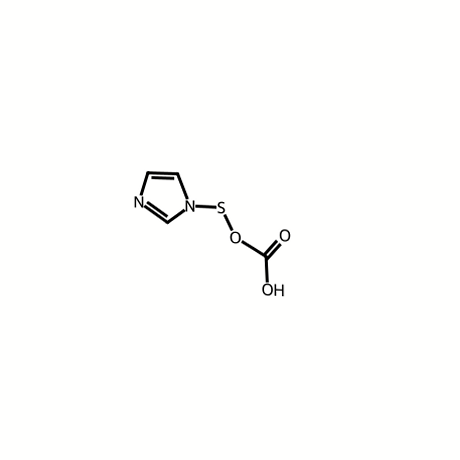 O=C(O)OSn1ccnc1